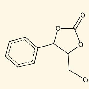 [O]CC1OC(=O)OC1c1ccccc1